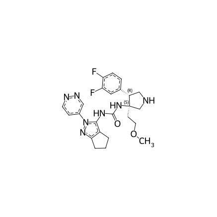 COCC[C@@]1(NC(=O)Nc2c3c(nn2-c2ccnnc2)CCC3)CNC[C@H]1c1ccc(F)c(F)c1